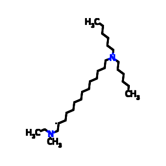 CCCCCCN(CCCCCC)CCCCCCCCCCCC[CH]CN(C)CC